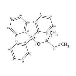 CCC(C)O[Si](c1ccccc1)(c1ccccc1)c1ccccc1